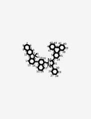 CC1(C)c2cc3ccccc3cc2-c2cccc(-c3ccc(-c4nc(-c5ccccc5)cc(-c5ccc6c7ccccc7c7ccccc7c6c5)n4)c4ccccc34)c21